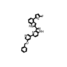 Fc1ccc(-c2cccc3[nH]c(-c4n[nH]c5ccc(-c6cncc(OCc7ccccc7)c6)nc45)cc23)s1